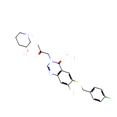 Br.Br.O=C(C[C@H]1NCCC[C@@H]1O)Cn1cnc2cc(Cl)c(SCc3ccc(Cl)cc3)cc2c1=O